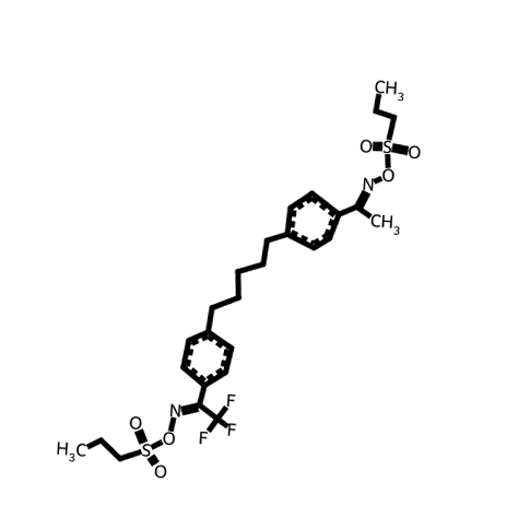 CCCS(=O)(=O)O/N=C(/c1ccc(CCCCCc2ccc(/C(C)=N/OS(=O)(=O)CCC)cc2)cc1)C(F)(F)F